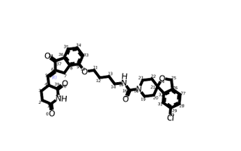 O=C1CCC(/C=C2\Cc3c(OCCCCNC(=O)N4CCC5(CC4)OCc4ccc(Cl)cc45)cccc3C2=O)C(=O)N1